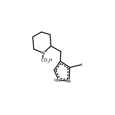 O=C(O)N1CCCCC1Cc1c[nH]nc1I